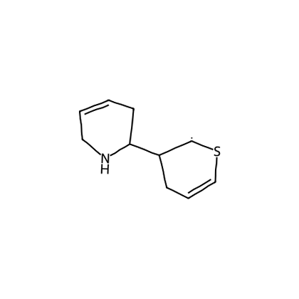 [CH]1SC=CCC1C1CC=CCN1